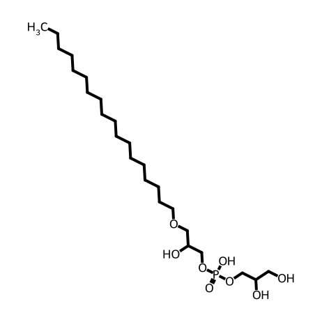 CCCCCCCCCCCCCCCCCCOCC(O)COP(=O)(O)OCC(O)CO